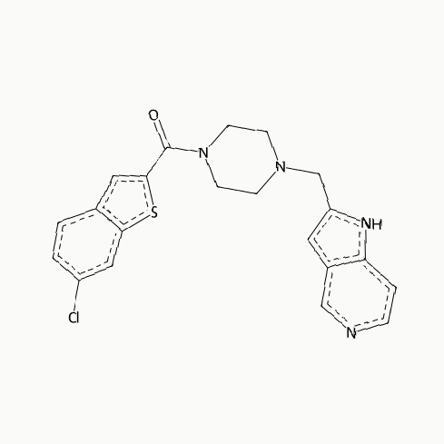 O=C(c1cc2ccc(Cl)cc2s1)N1CCN(Cc2cc3cnccc3[nH]2)CC1